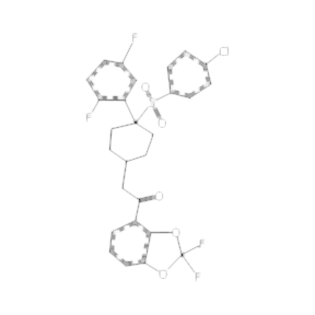 O=C(CC1CCC(c2cc(F)ccc2F)(S(=O)(=O)c2ccc(Cl)cc2)CC1)c1cccc2c1OC(F)(F)O2